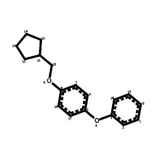 c1ccc(Oc2ccc(OCC3CCCC3)cc2)cc1